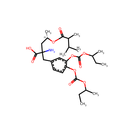 CCC(C)OC(=O)Oc1ccc(CC(N)(C[C@H](C)OC(=O)C(C)C(C)C)C(=O)O)cc1OC(=O)OC(C)CC